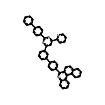 c1ccc(-c2ccc(-c3nc(-c4cccc(-c5ccc(-c6nc7ccccc7c7c6ccc6ccccc67)cc5)c4)cc(-c4ccccn4)n3)cc2)cc1